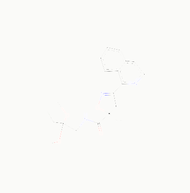 CCOC(CF)(CNC(=O)C1(C(C)C)CC(c2nccc3ccccc23)=NO1)OCC